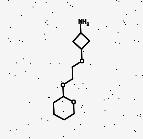 NC1CC(OCCOC2CCCCO2)C1